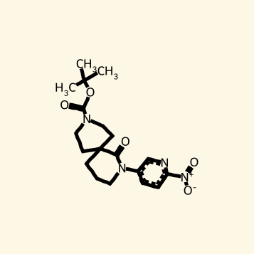 CC(C)(C)OC(=O)N1CCC2(CCCN(c3ccc([N+](=O)[O-])nc3)C2=O)CC1